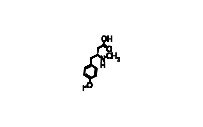 CN[C@H](CC(=O)O)Cc1ccc(OI)cc1